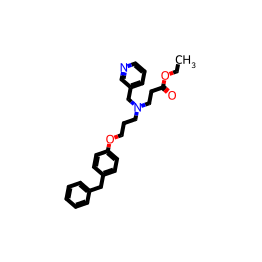 CCOC(=O)CCN(CCCOc1ccc(Cc2ccccc2)cc1)Cc1cccnc1